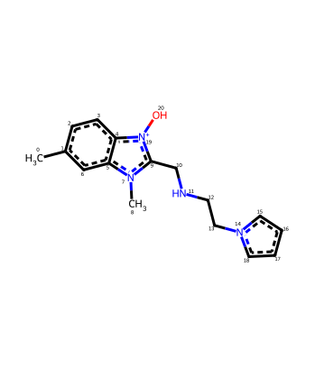 Cc1ccc2c(c1)n(C)c(CNCCn1cccc1)[n+]2O